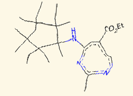 CCOC(=O)c1cnc(C)nc1NC1(C)C(C)(C)C(C)(C)C(C)(C)C1(C)C